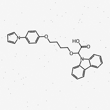 O=C(O)C(OCCCCOc1ccc(-n2cccc2)cc1)n1c2ccccc2c2ccccc21